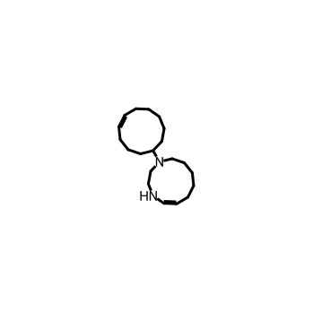 C1=CCCCC(N2CCCCCC=CNCC2)CCCCC1